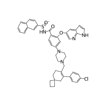 O=C(N[S+]([O-])c1ccc2ccccc2c1)c1ccc(N2CCN(CC3=C(c4ccc(Cl)cc4)CC4(CCC4)CC3)CC2)cc1Oc1cnc2[nH]ccc2c1